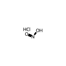 Cl.O=NO